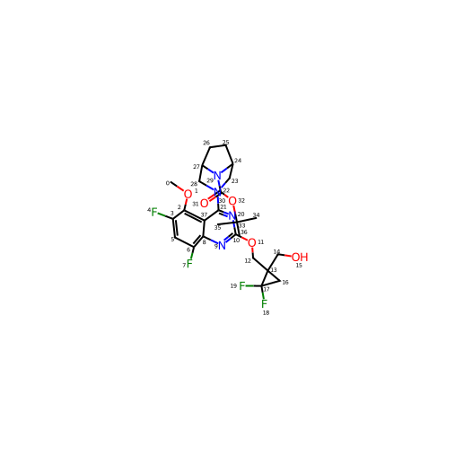 COc1c(F)cc(F)c2nc(OCC3(CO)CC3(F)F)nc(N3CC4CCC(C3)N4C(=O)OC(C)(C)C)c12